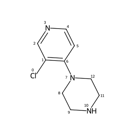 Clc1cnccc1N1CCNCC1